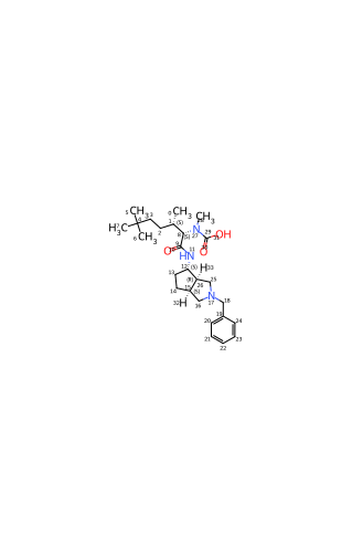 C[C@@H](CCC(C)(C)C)[C@@H](C(=O)N[C@H]1CC[C@@H]2CN(Cc3ccccc3)C[C@@H]21)N(C)C(=O)O